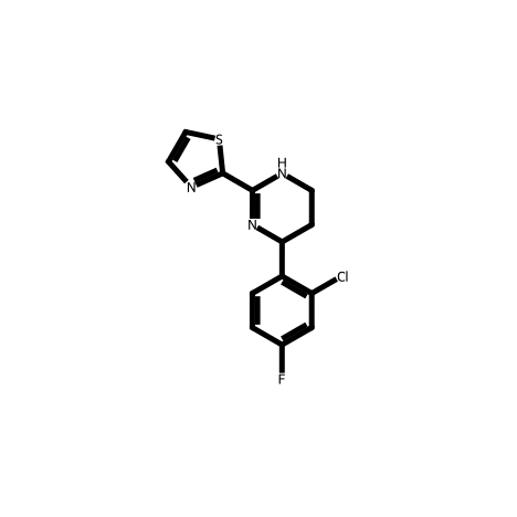 Fc1ccc(C2CCNC(c3nccs3)=N2)c(Cl)c1